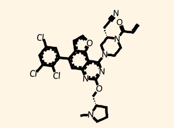 C=CC(=O)N1CCN(c2nc(OC[C@@H]3CCCN3C)nc3cc(-c4cc(Cl)cc(Cl)c4Cl)c4ccoc4c23)C[C@@H]1CC#N